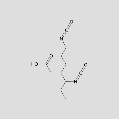 CCC(N=C=O)C(CCCN=C=O)CC(=O)O